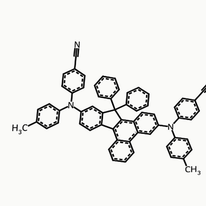 Cc1ccc(N(c2ccc(C#N)cc2)c2ccc3c(c2)C(c2ccccc2)(c2ccccc2)c2c-3c3ccccc3c3cc(N(c4ccc(C)cc4)c4ccc(C#N)cc4)ccc23)cc1